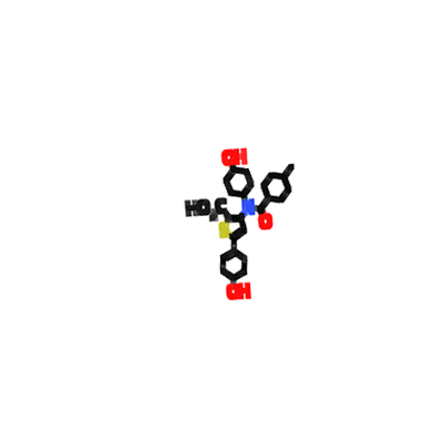 CC1CCC(C(=O)N(c2cc(C3=CCC(O)CC3)sc2C(=O)O)C2CCC(O)CC2)CC1